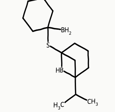 BC1(SC23BC(C(C)C)(CCC2)C3)CCCCC1